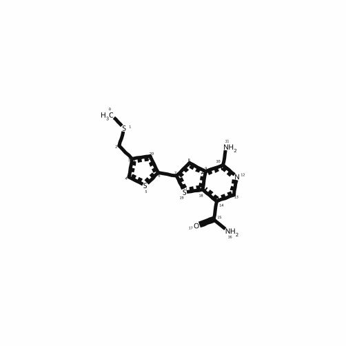 CSCc1csc(-c2cc3c(N)ncc(C(N)=O)c3s2)c1